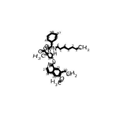 C=CCCCCCN[C@H](C(=O)N1C[C@H](Oc2nccc3cc(OC)c(C=C)cc23)C[C@@]1(C)C(=O)O)C1CCCCC1